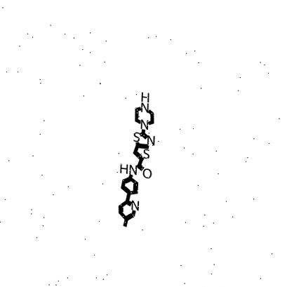 Cc1ccc(-c2ccc(NC(=O)c3cc4sc(N5CCNCC5)nc4s3)cc2)nc1